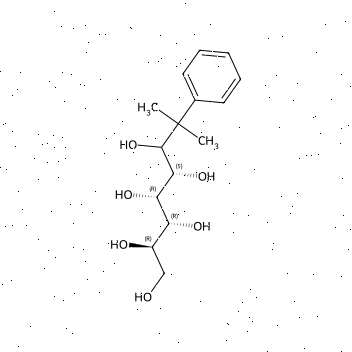 CC(C)(c1ccccc1)C(O)[C@H](O)[C@@H](O)[C@H](O)[C@H](O)CO